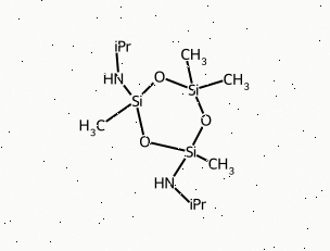 CC(C)N[Si]1(C)O[Si](C)(C)O[Si](C)(NC(C)C)O1